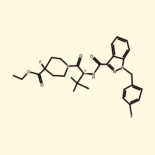 CCOC(=O)C1(F)CCN(C(=O)[C@@H](NC(=O)c2nn(Cc3ccc(F)cc3)c3ccccc23)C(C)(C)C)CC1